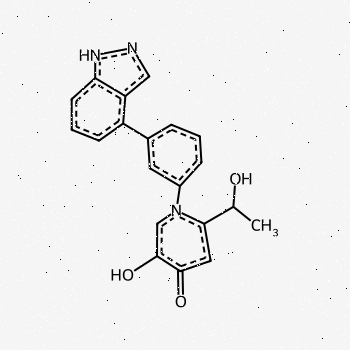 CC(O)c1cc(=O)c(O)cn1-c1cccc(-c2cccc3[nH]ncc23)c1